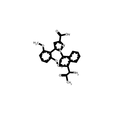 COc1cccc(OC)c1-c1cc(C(=O)O)nn1-c1ccc(C(N)C(C)=O)c2ccccc12